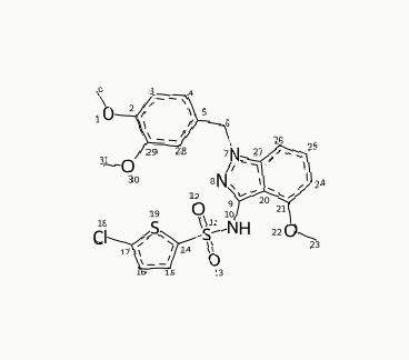 COc1ccc(Cn2nc(NS(=O)(=O)c3ccc(Cl)s3)c3c(OC)cccc32)cc1OC